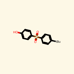 CC(C)(C)c1ccc(S(=O)(=O)c2ccc(O)cc2)cc1